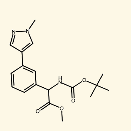 COC(=O)C(NC(=O)OC(C)(C)C)c1cccc(-c2cnn(C)c2)c1